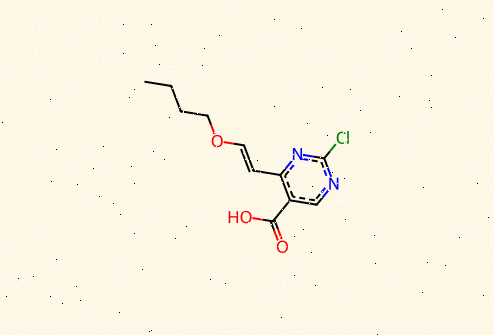 CCCCO/C=C/c1nc(Cl)ncc1C(=O)O